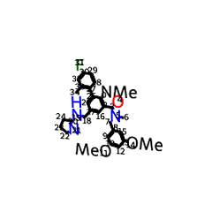 CNc1c(C(=O)N(C)Cc2cc(OC)cc(OC)c2)cc(CNC2=NCCC2)cc1-c1ccc(F)cc1C